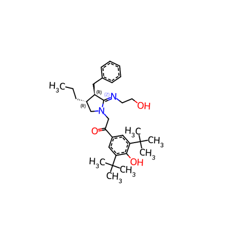 CCC[C@H]1CN(CC(=O)c2cc(C(C)(C)C)c(O)c(C(C)(C)C)c2)/C(=N\CCO)[C@@H]1Cc1ccccc1